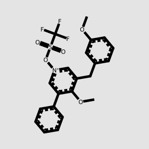 COc1cccc(Cc2c[n+](OS(=O)(=O)C(F)(F)F)cc(-c3ccccc3)c2OC)c1